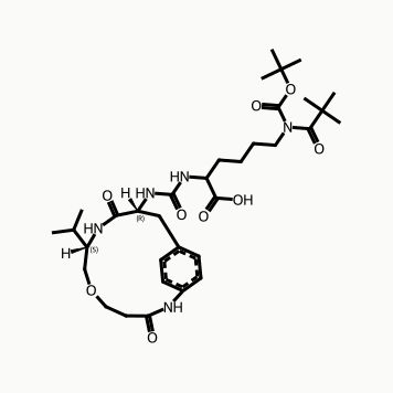 CC(C)[C@H]1COCCC(=O)Nc2ccc(cc2)C[C@@H](NC(=O)NC(CCCCN(C(=O)OC(C)(C)C)C(=O)C(C)(C)C)C(=O)O)C(=O)N1